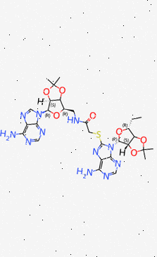 CC[C@H]1O[C@@H](n2c(SCC(=O)NC[C@H]3O[C@@H](n4cnc5c(N)ncnc54)[C@H]4OC(C)(C)OC34)nc3c(N)ncnc32)[C@H]2OC(C)(C)OC12